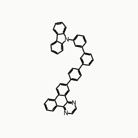 c1cc(-c2ccc(-c3ccc4c5ccccc5c5nccnc5c4c3)cc2)cc(-c2cccc(-n3c4ccccc4c4ccccc43)c2)c1